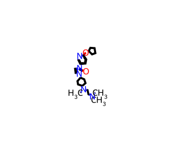 CN(C)CCN(C)C1CCC(n2ccn(-c3ccc(OC4CCCC4)nc3)c2=O)CC1